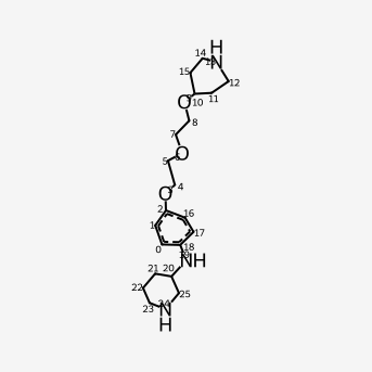 c1cc(OCCOCCOC2CCNCC2)ccc1NC1CCCNC1